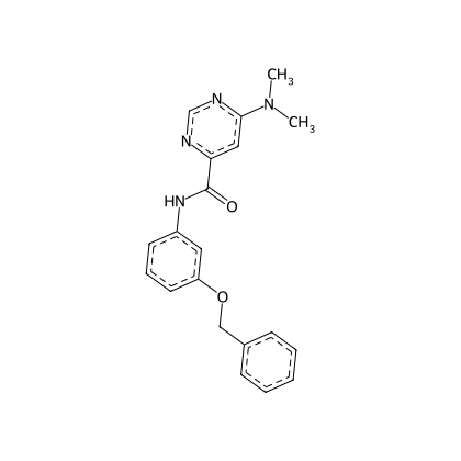 CN(C)c1cc(C(=O)Nc2cccc(OCc3ccccc3)c2)ncn1